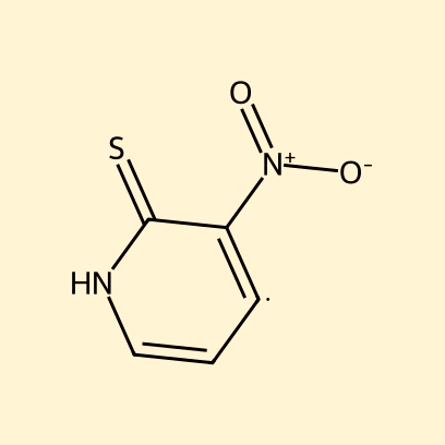 O=[N+]([O-])c1[c]cc[nH]c1=S